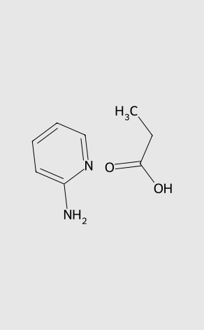 CCC(=O)O.Nc1ccccn1